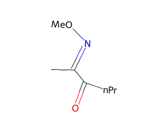 CCCC(=O)C(C)=NOC